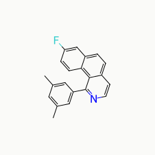 Cc1cc(C)cc(-c2nccc3ccc4cc(F)ccc4c23)c1